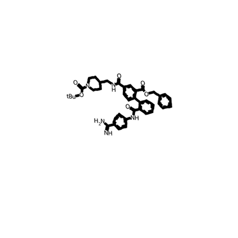 CC(C)(C)OC(=O)N1CCC(CNC(=O)c2ccc(-c3ccccc3C(=O)Nc3ccc(C(=N)N)cc3)c(C(=O)OCc3ccccc3)c2)CC1